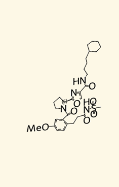 COc1ccc(CCC(=O)NS(C)(=O)=O)c(C(=O)N2CCC[C@H]2c2nc(C(=O)NCCCCC3CCCCC3)co2)c1